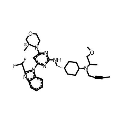 CC#CCN(C(C)COC)[C@H]1CC[C@H](CNc2nc(N3CCOC[C@@H]3C)cc(-n3c(C(F)F)nc4ccccc43)n2)CC1